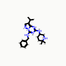 CC(C)c1cnn2c(NCc3ccccc3)nc(NC3CCC(C)(C)NC3)nc12